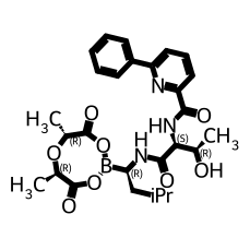 CC(C)C[C@H](NC(=O)[C@@H](NC(=O)c1cccc(-c2ccccc2)n1)[C@@H](C)O)B1OC(=O)[C@@H](C)O[C@H](C)C(=O)O1